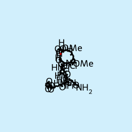 COc1cc2cc(c1Cl)N(C)C(=O)C[C@H](OC(=O)Nc1cc(F)c(NC(=O)[C@H](CCCNCOCN)NC(=O)[C@@H](NC(=O)CCCCC(=O)ON3C(=O)CCC3=O)C(C)C)cc1Cl)[C@]1(C)O[C@H]1[C@H](C)[C@@H]1C[C@@](O)(NC(=O)O1)[C@H](OC)/C=C/C=C(\C)C2